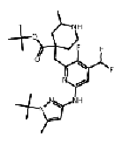 Cc1cc(Nc2cc(C(F)F)c(F)c(CC3(C(=O)OC(C)(C)C)CCNC(C)C3)n2)nn1C(C)(C)C